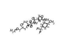 COCC1CCN(S(=O)(=O)NC(=O)c2coc(Nc3cc(C(F)F)ccc3C)n2)CCO1